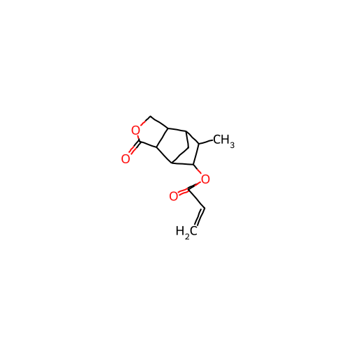 C=CC(=O)OC1C(C)C2CC1C1C(=O)OCC21